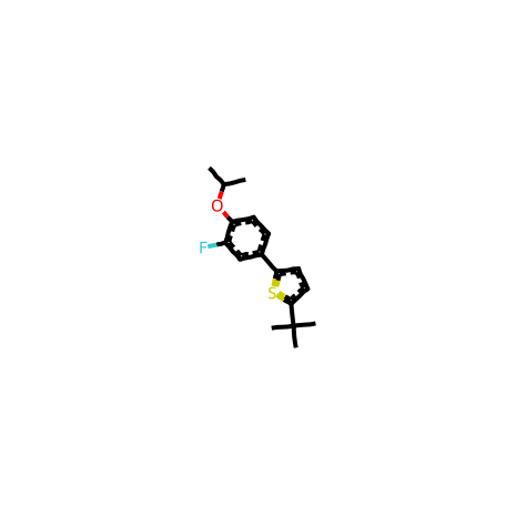 CC(C)Oc1ccc(-c2ccc(C(C)(C)C)s2)cc1F